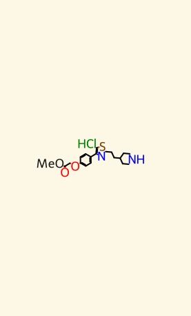 COC(=O)COc1ccc(-c2csc(CCC3CCNCC3)n2)cc1.Cl